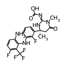 CN1C(=O)C[C@@](C)(c2cccc(Nc3c(N)ccc(F)c3C(F)(F)F)c2F)N/C1=N\C(=O)O